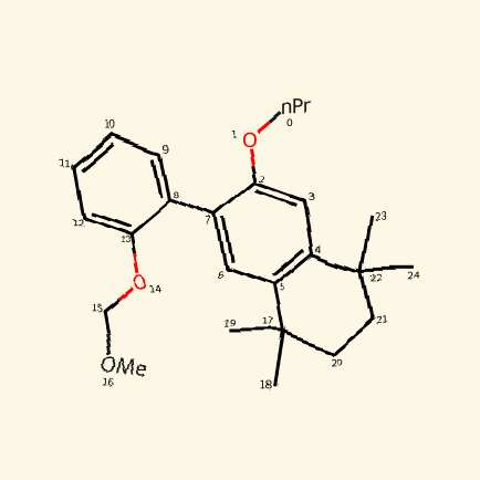 CCCOc1cc2c(cc1-c1ccccc1OCOC)C(C)(C)CCC2(C)C